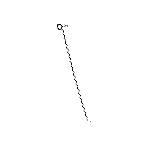 CCCCCCCCCCCCCCCCCCCCCCCCCCCCCCCCCCCCCCCCc1ccccc1O